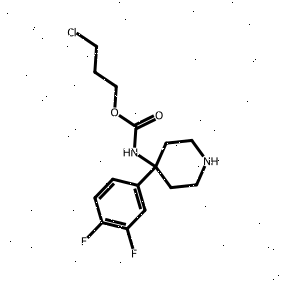 O=C(NC1(c2ccc(F)c(F)c2)CCNCC1)OCCCCl